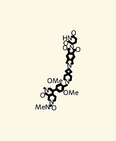 CNC(=O)N1CCc2c(-c3cc(OC)c(CN4CCC5(CC4)CC(N4Cc6cc7c(cc6C4)C(=O)N(C4CCC(=O)NC4=O)C7=O)C5)c(OC)c3)cn(C)c(=O)c2C1